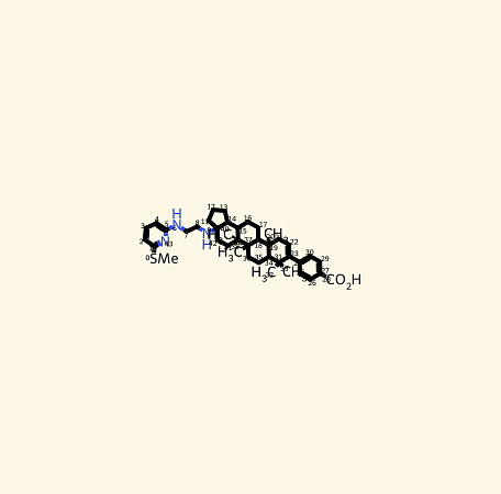 CSc1cccc(NCCNC23CCCC2C2CCC4C5(C)CC=C(c6ccc(C(=O)O)cc6)C(C)(C)C5CCC4(C)[C@]2(C)CC3)n1